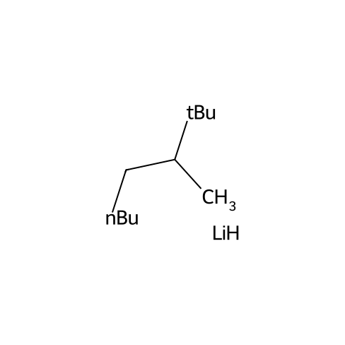 CCCCCC(C)C(C)(C)C.[LiH]